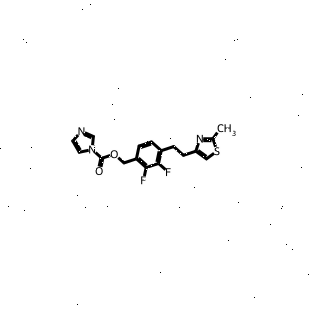 Cc1nc(CCc2ccc(COC(=O)n3ccnc3)c(F)c2F)cs1